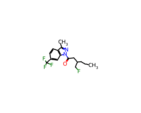 CCCC(CF)CC(=O)n1nc(C)c2ccc(C(F)(F)F)cc21